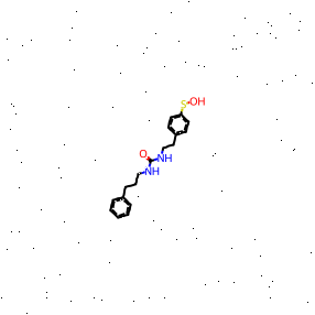 O=C(NCCCc1ccccc1)NCCc1ccc(SO)cc1